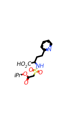 CC(C)OC(=O)CS(=O)(=O)NC(CCc1ccccn1)C(=O)O